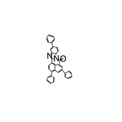 O=c1c2cc(-c3ccccc3)cc3c(-c4ccccc4)ccc(c4n1C1C=CC(c5ccccc5)=CC1N=4)c32